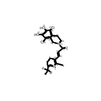 Cc1nc(C(C)(F)F)ccc1/C=C/C(=O)N1CCc2c(Cl)c(O)c(O)c(Cl)c2C1